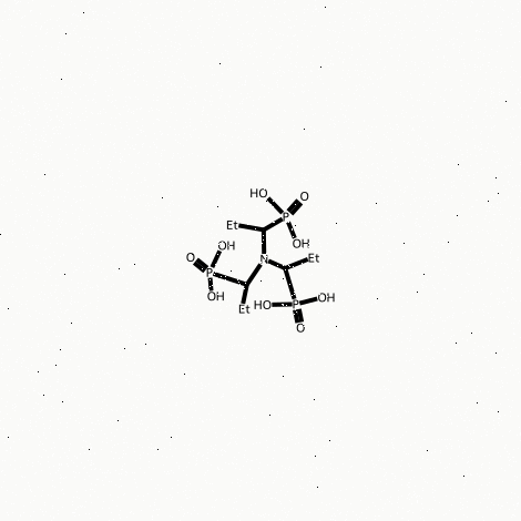 CCC(N(C(CC)P(=O)(O)O)C(CC)P(=O)(O)O)P(=O)(O)O